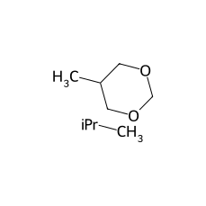 CC(C)C.CC1COCOC1